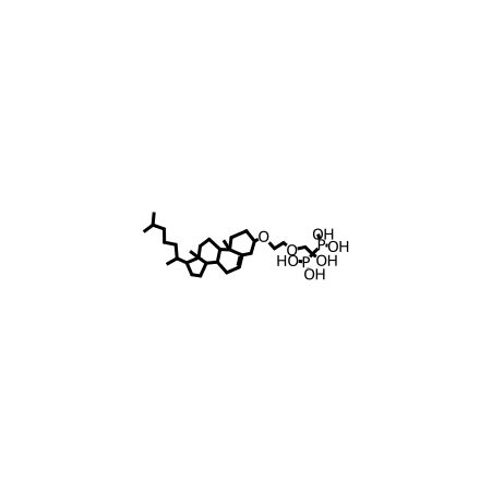 CC(C)CCCC(C)C1CCC2C3CC=C4CC(OCCOCC(O)(P(O)O)P(O)O)CCC4(C)C3CCC12C